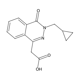 O=C(O)Cc1nn(CC2CC2)c(=O)c2ccccc12